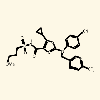 COCCCS(=O)(=O)NC(=O)c1nc(N(Cc2ccc(C(F)(F)F)nc2)c2ccc(C#N)cc2)sc1C1CC1